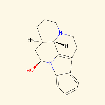 O[C@H]1C[C@H]2CCCN3CCc4c(n1c1ccccc41)[C@H]23